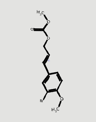 COC(=O)OC/C=C/c1ccc(OC)c(Br)c1